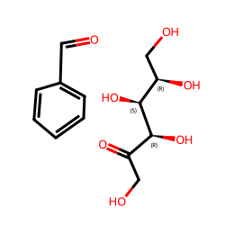 O=C(CO)[C@H](O)[C@@H](O)[C@H](O)CO.O=Cc1ccccc1